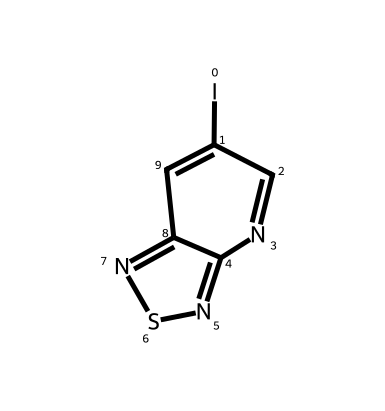 Ic1cnc2nsnc2c1